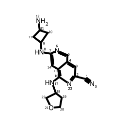 N#Cc1cc2cnc(NC3CC(N)C3)cc2c(NC2CCOC2)n1